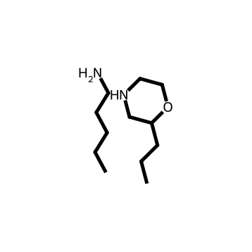 CCCC1CNCCO1.CCCCCN